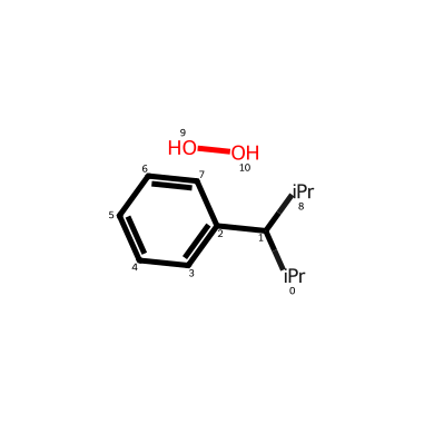 CC(C)C(c1ccccc1)C(C)C.OO